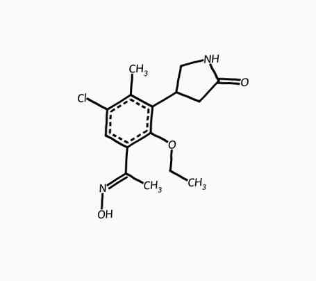 CCOc1c(/C(C)=N/O)cc(Cl)c(C)c1C1CNC(=O)C1